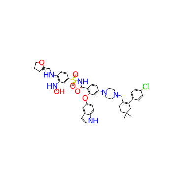 CC1(C)CCC(CN2CCN(c3ccc(C(=O)NS(=O)(=O)c4ccc(NC[C@H]5CCCO5)c(NO)c4)c(Oc4ccc5[nH]ccc5c4)c3)CC2)=C(c2ccc(Cl)cc2)C1